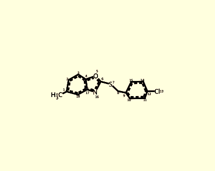 Cc1ccc2oc(SCc3ccc(Cl)cc3)nc2c1